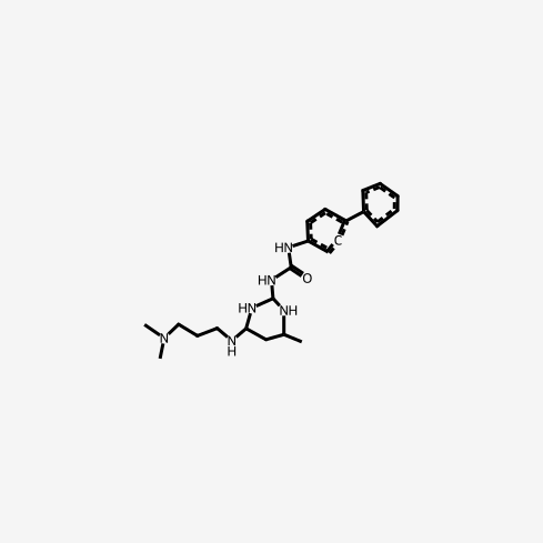 CC1CC(NCCCN(C)C)NC(NC(=O)Nc2ccc(-c3ccccc3)cc2)N1